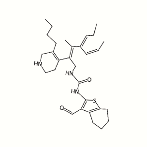 C\C=C/C(=C\CC)C(/C)=C(\CNC(=O)Nc1sc2c(c1C=O)CCCC2)C1=C(CCCC)CNCC1